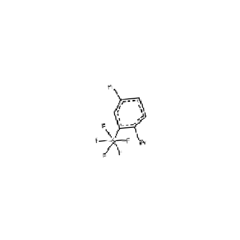 CC(C)c1ccc(C(C)C)c(S(F)(F)(F)(F)F)c1